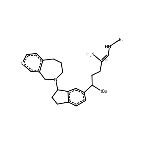 CCN/C=C(\N)CCC(c1ccc2c(c1)C(N1CCCc3ccncc3C1)CC2)C(C)(C)C